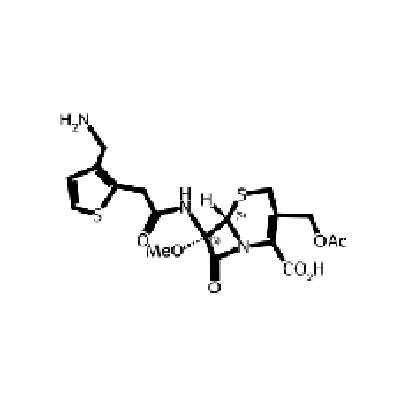 CO[C@@]1(NC(=O)Cc2sccc2CN)C(=O)N2C(C(=O)O)=C(COC(C)=O)CS[C@H]21